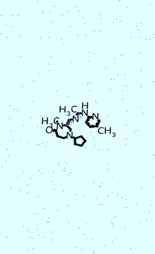 C/C(=N\C=C1/CN(C2CCCC2)CCC(=O)N1C)Nc1ccc(C)cn1